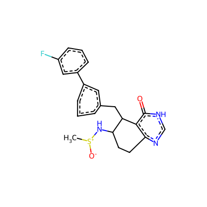 C[S+]([O-])NC1CCc2nc[nH]c(=O)c2C1Cc1cccc(-c2cccc(F)c2)c1